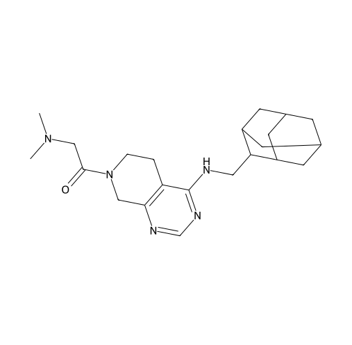 CN(C)CC(=O)N1CCc2c(ncnc2NCC2C3CC4CC(C3)CC2C4)C1